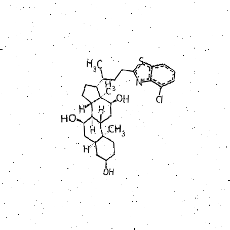 CC(CCc1nc2c(Cl)cccc2s1)[C@H]1CC[C@H]2[C@@H]3[C@H](O)C[C@@H]4C[C@H](O)CC[C@]4(C)[C@H]3C[C@H](O)[C@]12C